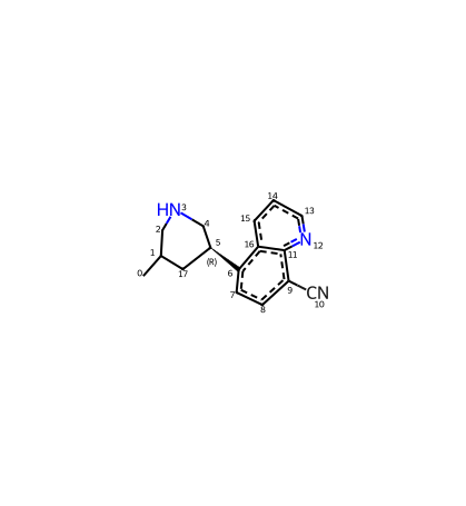 CC1CNC[C@@H](c2ccc(C#N)c3ncccc23)C1